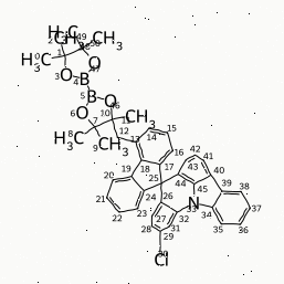 CC1(C)OB(B2OC(C)(C)C(C)(Cc3cccc4c3-c3ccccc3C43c4ccc(Cl)cc4-n4c5ccccc5c5cccc3c54)O2)OC1(C)C